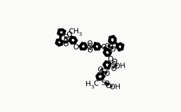 COc1ccc(Oc2ccc(S(=O)(=O)c3ccc(Oc4ccc(Oc5ccc(S(=O)(=O)c6ccc(C)c(SOOO)c6)cc5S(=O)(=O)O)cc4P4(=O)Oc5ccccc5-c5ccccc54)cc3)cc2)cc1P1(=O)Oc2ccccc2-c2ccccc21